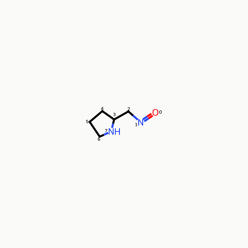 O=NCC1CCCN1